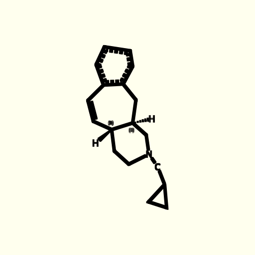 C1=C[C@H]2CCN(CC3CC3)C[C@@H]2Cc2ccccc21